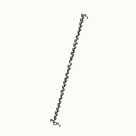 CS(#P)=PP=PP=PP=PP=PP=PP=PP=PP=PP=PP=PP=PP=PP=PP=PP=PP=PP=PP=PP=PP=PP=PP=PP=PP=PP